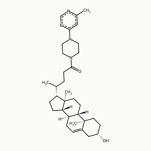 Cc1cc(N2CCN(C(=O)CCC(C)[C@H]3CC[C@H]4[C@@H]5CC=C6C[C@@H](O)CC[C@]6(C)[C@H]5CC[C@]34C)CC2)ncn1